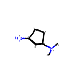 CN(C)C1CCC(N)C1